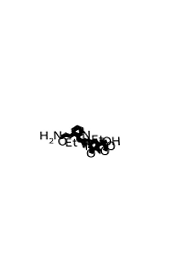 CCc1c2c(nc3cccc(CCC(N)=O)c13)-c1cc3c(c(=O)n1C2)COC(=O)C3(O)CC